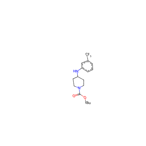 CC(C)(C)OC(=O)N1CCC(Nc2cccc(C(F)(F)F)c2)CC1